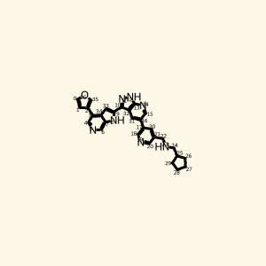 c1cc(-c2cncc3[nH]c(-c4n[nH]c5ncc(-c6cncc(CNCC7CCCC7)c6)cc45)cc23)co1